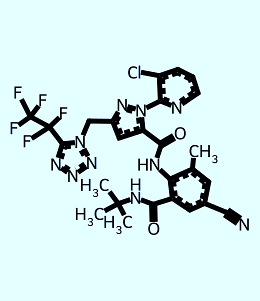 Cc1cc(C#N)cc(C(=O)NC(C)(C)C)c1NC(=O)c1cc(Cn2nnnc2C(F)(F)C(F)(F)F)nn1-c1ncccc1Cl